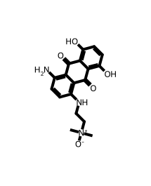 C[N+](C)([O-])CCNc1ccc(N)c2c1C(=O)c1c(O)ccc(O)c1C2=O